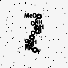 COc1ccccc1CNC(=O)c1cc2c(Oc3ccc(NC(=O)C4(C(=O)Nc5ccc(F)cc5)CC4)cc3)ccnc2[nH]1